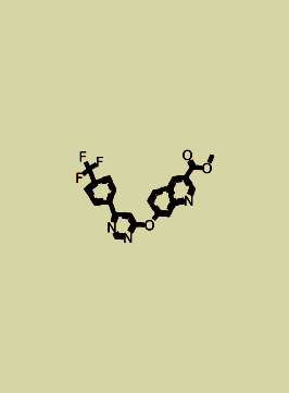 COC(=O)c1cnc2cc(Oc3cc(-c4ccc(C(F)(F)F)cc4)ncn3)ccc2c1